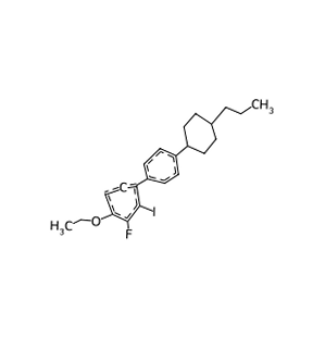 CCCC1CCC(c2ccc(-c3ccc(OCC)c(F)c3I)cc2)CC1